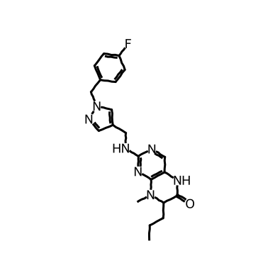 CCCC1C(=O)Nc2cnc(NCc3cnn(Cc4ccc(F)cc4)c3)nc2N1C